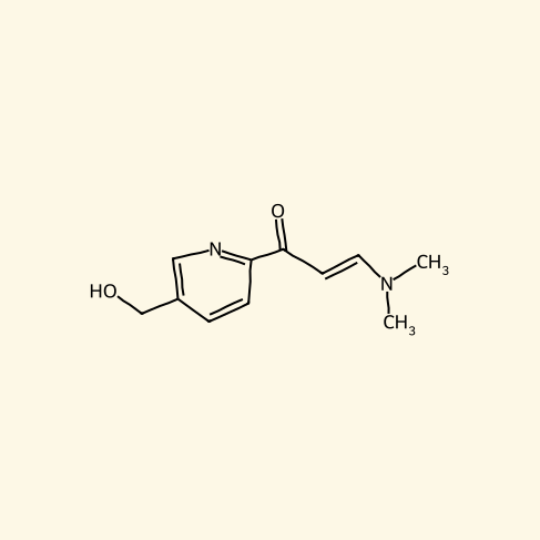 CN(C)C=CC(=O)c1ccc(CO)cn1